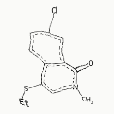 CCSc1cn(C)c(=O)c2cc(Cl)ccc12